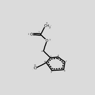 [CH2]C(=O)OCc1ccccc1Cl